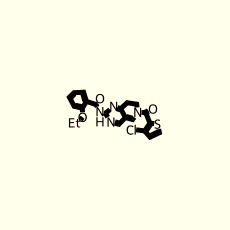 CCOc1ccccc1C(=O)NC1N=CC2=CN(C(=O)c3sccc3Cl)CCC2=N1